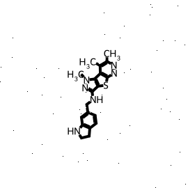 Cc1nnc2sc3c(NCc4ccc5c(c4)NCC5)nn(C)c3c2c1C